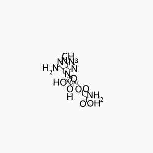 CN1N=C(N)c2cn([C@@H]3O[C@H](COC(=O)CC(N)C(=O)O)C(O)[C@@H]3O)c3ncnc1c23